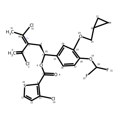 C=C(Cl)/C(C[C@H](OC(=O)c1sccc1Cl)c1ccc(OC(F)F)c(OCC2CC2)c1)=C(\C)Cl